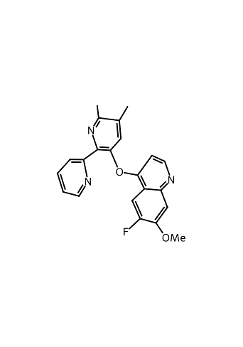 COc1cc2nccc(Oc3cc(C)c(C)nc3-c3ccccn3)c2cc1F